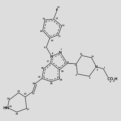 O=C(O)CN1CCC(c2nn(Cc3ccc(F)cc3)c3cc(/C=C/C4CCNCC4)ccc23)CC1